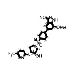 COc1cc(-c2ccc(S(=O)(=O)N3CC[C@@H](Nc4ccc(C(F)(F)F)cn4)[C@@H](O)C3)cc2)cc2c(C#N)n[nH]c12